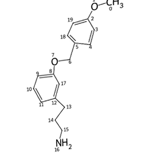 COc1ccc(COc2cccc(CCCN)c2)cc1